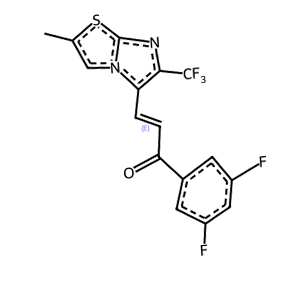 Cc1cn2c(/C=C/C(=O)c3cc(F)cc(F)c3)c(C(F)(F)F)nc2s1